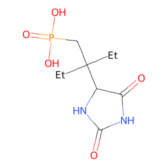 CCC(CC)(CP(=O)(O)O)C1NC(=O)NC1=O